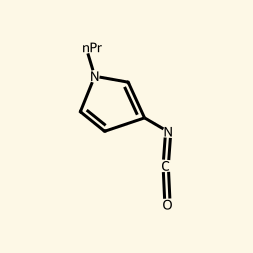 CCCn1ccc(N=C=O)c1